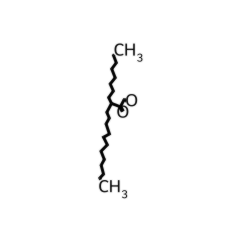 CCCCCCCCCCCCC(CCCCCCCC)C(=O)C=O